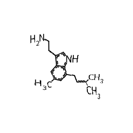 CC(C)=CCc1cc(C)cc2c(CCN)c[nH]c12